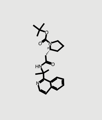 CC(C)(C)OC(=O)N1CCC[C@@H]1CC(=O)NC(C)(C)c1nccc2ccccc12